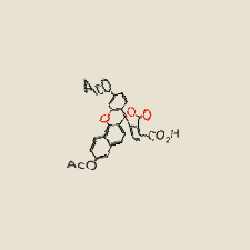 CC(=O)Oc1ccc2c(c1)Oc1c(ccc3cc(OC(C)=O)ccc13)C21OC(=O)c2c(C(=O)O)cccc21